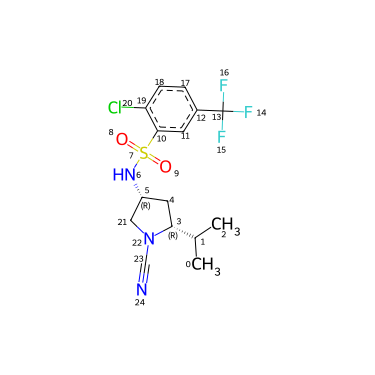 CC(C)[C@H]1C[C@@H](NS(=O)(=O)c2cc(C(F)(F)F)ccc2Cl)CN1C#N